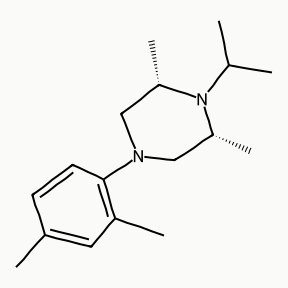 Cc1ccc(N2C[C@@H](C)N(C(C)C)[C@@H](C)C2)c(C)c1